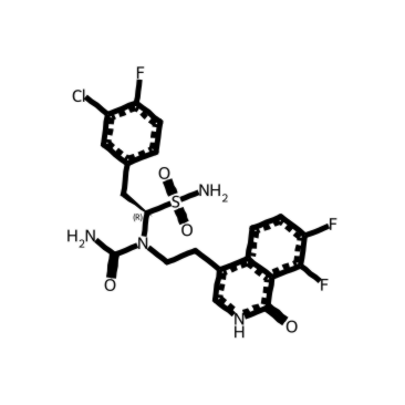 NC(=O)N(CCc1c[nH]c(=O)c2c(F)c(F)ccc12)[C@@H](Cc1ccc(F)c(Cl)c1)S(N)(=O)=O